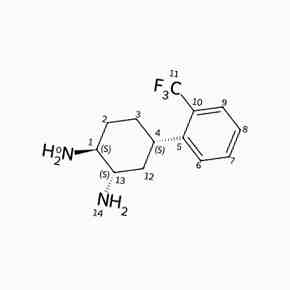 N[C@H]1CC[C@H](c2ccccc2C(F)(F)F)C[C@@H]1N